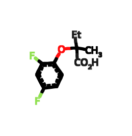 CCC(C)(Oc1ccc(F)cc1F)C(=O)O